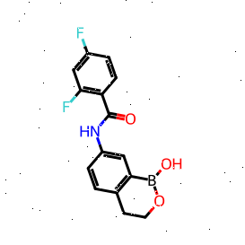 O=C(Nc1ccc2c(c1)B(O)OCC2)c1ccc(F)cc1F